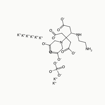 NCCNC(CC(=O)[O-])C(CC(=O)[O-])(CC(=O)[O-])N(CC(=O)[O-])CC(=O)[O-].O=P([O-])([O-])[O-].[K+].[K+].[K+].[K+].[K+].[K+].[K+].[K+]